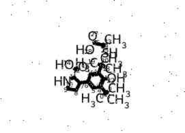 CC(C)(C)c1cc(C2CCN[C@@H]2C(=O)O)cc(C(C)(C)C)c1O.CC(S)C(=O)O